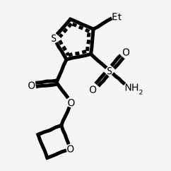 CCc1csc(C(=O)OC2CCO2)c1S(N)(=O)=O